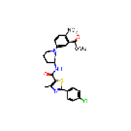 COC(=O)c1cc(N2CCCC(NC(=O)c3sc(-c4ccc(Cl)cc4)nc3C)C2)ccc1[N+](=O)[O-]